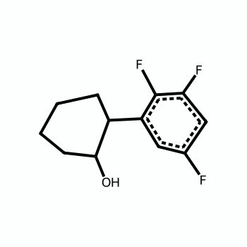 OC1CCCCC1c1cc(F)cc(F)c1F